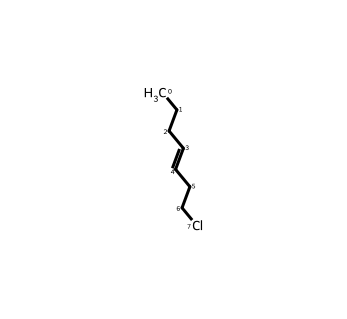 CCC/C=C/CCCl